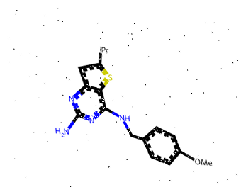 COc1ccc(CNc2nc(N)nc3cc(C(C)C)sc23)cc1